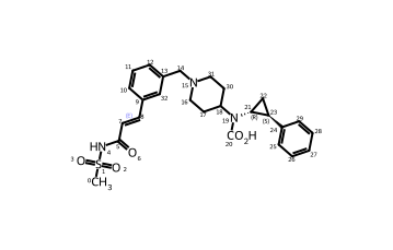 CS(=O)(=O)NC(=O)/C=C/c1cccc(CN2CCC(N(C(=O)O)[C@@H]3C[C@H]3c3ccccc3)CC2)c1